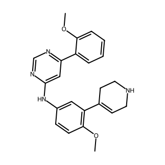 COc1ccc(Nc2cc(-c3ccccc3OC)ncn2)cc1C1=CCNCC1